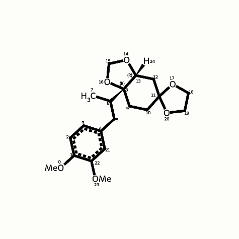 COc1ccc(CC(C)[C@]23CCC4(C[C@H]2OCO3)OCCO4)cc1OC